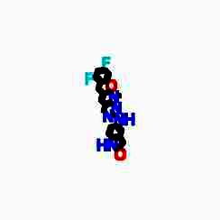 Cn1c(=O)c(Cc2ccc(F)cc2F)cc2cnc(Nc3ccc4c(c3)CC(=O)N4)nc21